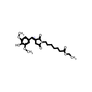 CCOC(=O)CCCCCCN1C(=O)C/C(=C\c2cc(OC)c(O)c(OC)c2)C1=O